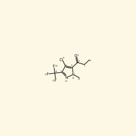 CCC(=O)c1c(Cl)c(C(F)(F)F)nn1C